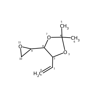 C=CC1OC(C)(C)OC1C1CO1